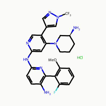 COc1cccc(F)c1-c1nc(Nc2cc(N3CCC[C@H](N)C3)c(-c3cnn(C(F)(F)F)c3)cn2)ccc1N.Cl